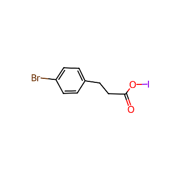 O=C(CCc1ccc(Br)cc1)OI